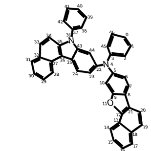 c1ccc(N(c2ccc3c(c2)oc2c4ccccc4ccc32)c2ccc3c4c5ccccc5ccc4n(-c4ccccc4)c3c2)cc1